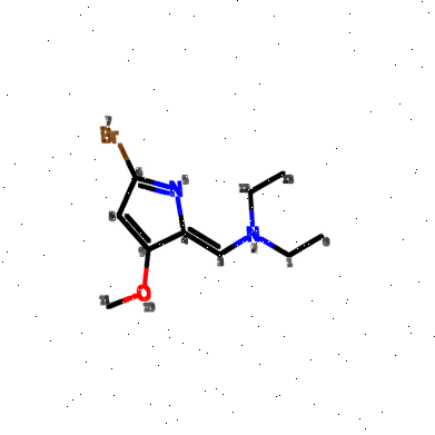 CCN(/C=C1\N=C(Br)C=C1OC)CC